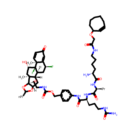 CCCC1O[C@@H]2C[C@H]3[C@@H]4C[C@H](F)C5=CC(=O)C=C[C@]5(C)[C@@]4(F)[C@@H](O)C[C@]3(C)[C@]2(C(=O)CNC(=O)OCc2ccc(NC(=O)[C@H](CCCNC(N)=O)NC(=O)[C@@H](NC(=O)[C@H](N)CCCCNC(=O)COC3C#CCCCCC3)C(C)C)cc2)O1